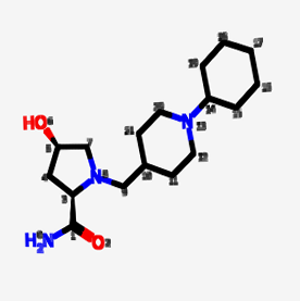 NC(=O)[C@H]1C[C@@H](O)CN1CC1CCN(C2CCCCC2)CC1